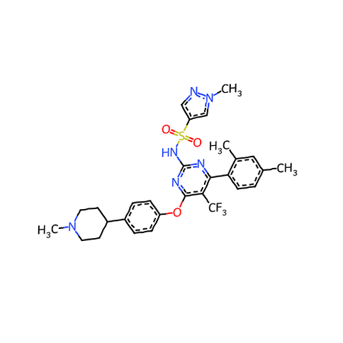 Cc1ccc(-c2nc(NS(=O)(=O)c3cnn(C)c3)nc(Oc3ccc(C4CCN(C)CC4)cc3)c2C(F)(F)F)c(C)c1